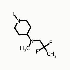 CN(CC(C)(F)F)C1CCN(I)CC1